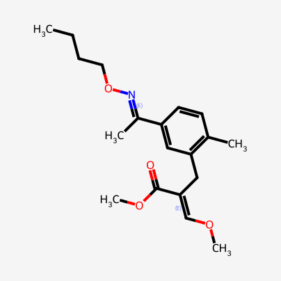 CCCCO/N=C(\C)c1ccc(C)c(C/C(=C\OC)C(=O)OC)c1